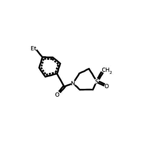 C=S1(=O)CCN(C(=O)c2ccc(CC)cc2)CC1